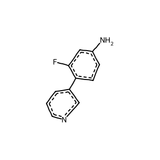 Nc1ccc(-c2cccnc2)c(F)c1